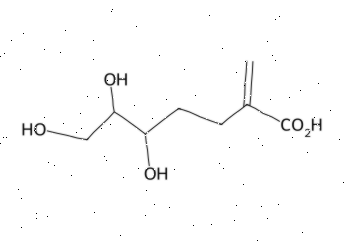 C=C(CCC(O)C(O)CO)C(=O)O